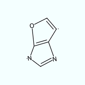 [c]1coc2c1N=C[N]2